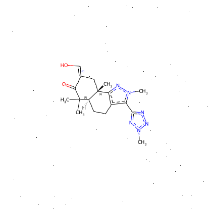 Cn1nnc(-c2c3c(nn2C)[C@@]2(C)C/C(=C/O)C(=O)C(C)(C)[C@@H]2CC3)n1